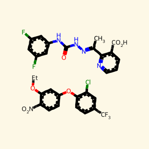 C/C(=N\NC(=O)Nc1cc(F)cc(F)c1)c1ncccc1C(=O)O.CCOc1cc(Oc2ccc(C(F)(F)F)cc2Cl)ccc1[N+](=O)[O-]